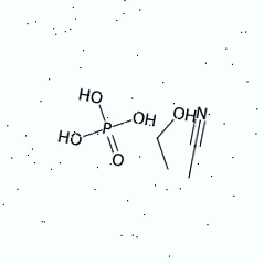 CC#N.CCO.O=P(O)(O)O